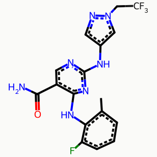 Cc1cccc(F)c1Nc1nc(Nc2cnn(CC(F)(F)F)c2)ncc1C(N)=O